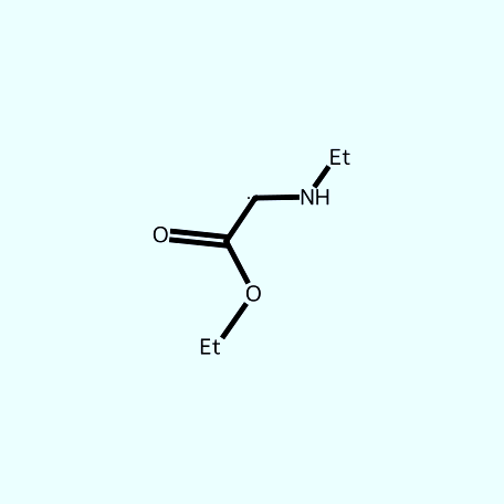 CCN[CH]C(=O)OCC